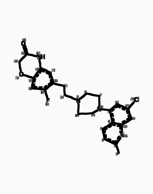 Cc1ccc2c(N3CCN(CCc4cc5c(cc4F)OCC(=O)N5)CC3)cc(Cl)cc2n1